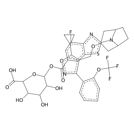 O=C(OC1OC(C(=O)O)C(O)C(O)C1O)c1cc(F)c2nc(N3C4CCC3CC(OCc3c(-c5ccccc5OC(F)(F)F)noc3C3CC3)C4)sc2c1